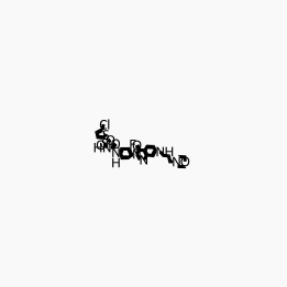 O=C(Nc1ccc(-n2cnc3cc(NCCCN4CCOCC4)ccc3c2=O)c(F)c1)NS(=O)(=O)c1ccc(Cl)s1